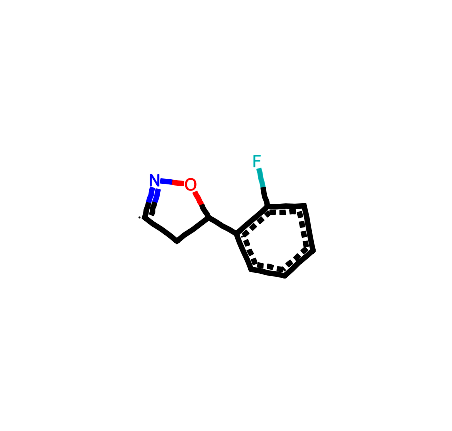 Fc1ccccc1C1C[C]=NO1